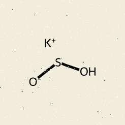 [K+].[O-]SO